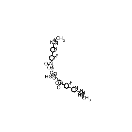 Cn1cnc(-c2ccc(-c3ccc(N4C[C@H](COP(=O)(O)OC[C@H]5CN(c6ccc(-c7ccc(-c8nnn(C)n8)nc7)c(F)c6)C(=O)O5)OC4=O)cc3F)cn2)n1